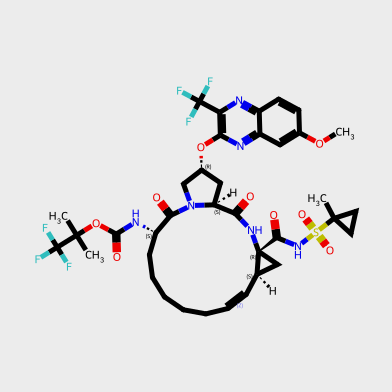 COc1ccc2nc(C(F)(F)F)c(O[C@@H]3C[C@H]4C(=O)N[C@]5(C(=O)NS(=O)(=O)C6(C)CC6)C[C@H]5/C=C\CCCCC[C@H](NC(=O)OC(C)(C)C(F)(F)F)C(=O)N4C3)nc2c1